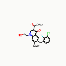 COC(=O)c1cn(CCO)c2cc(OC)c(Cc3cccc(Cl)c3F)cc2c1=O